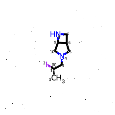 C[C@@H](I)CN1CC2CNC2C1